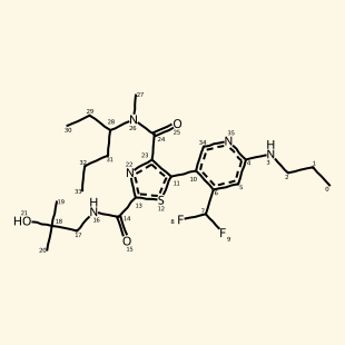 CCCNc1cc(C(F)F)c(-c2sc(C(=O)NCC(C)(C)O)nc2C(=O)N(C)C(CC)CCC)cn1